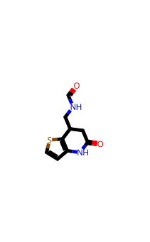 O=CNCC1CC(=O)Nc2ccsc21